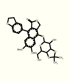 COc1cc2c(OC3OC(CO)C4OC(C)(C)OC4C3O)c3c(c(-c4ccc5c(c4)CCO5)c2cc1OC)C(=O)OC3